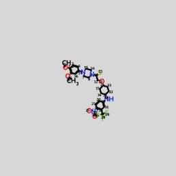 COc1ccc(N2CCN(C(=S)COC3CCC(Nc4ccc([N+](=O)[O-])c(C(F)(F)F)c4)CC3)CC2)cc1OC